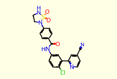 N#Cc1ccnc(-c2cc(NC(=O)c3ccc(N4CCNS4(=O)=O)cc3)ccc2Cl)c1